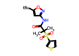 CC(C)(C)c1cc(NC(=O)C(C)(C)S(=O)(=O)c2ccsc2)no1